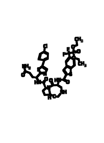 CCOP(=O)(OCC)C(F)(F)c1ccc2sc(C(=O)N[C@H]3CNCC[C@H]4CC[C@@H](C(=O)N[C@@H](CCC(N)=O)c5ncc(-c6ccc(Cl)cc6)s5)N4C3=O)cc2c1